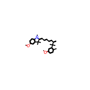 C=C(/C=C/C=C/C=C1/N(C)c2ccc(OC)cc2C1(C)C)C(C)(C)c1cc(OC)ccc1C